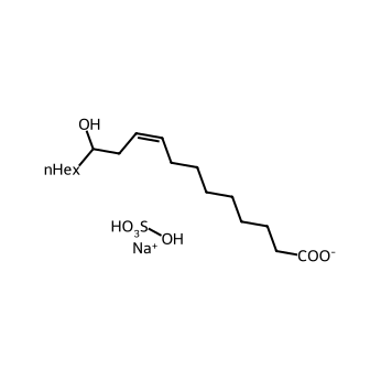 CCCCCCC(O)C/C=C\CCCCCCCC(=O)[O-].O=S(=O)(O)O.[Na+]